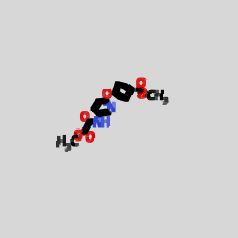 COC(=O)C(=O)Nc1ccc(O[C@H]2CC[C@@H](C(=O)OC)CC2)nc1